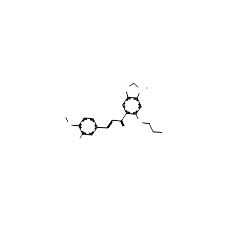 CCCOc1cc2c(cc1C(=O)C=Cc1ccc(OC)c(O)c1)OC[S+]2[O-]